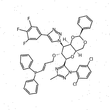 Cc1nc([C@@H]2O[C@@H]3CO[C@H](c4ccccc4)O[C@@H]3[C@H](n3cc(-c4cc(F)c(F)c(F)c4)nn3)[C@H]2OC/C=C/P(c2ccccc2)c2ccccc2)n(-c2cc(Cl)ccc2Cl)n1